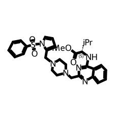 COC(=O)[C@@H](Nc1nc(CN2CCN(Cc3cccn3S(=O)(=O)c3ccccc3)CC2)nc2ccccc12)C(C)C